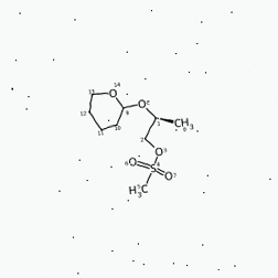 C[C@@H](COS(C)(=O)=O)OC1CCCCO1